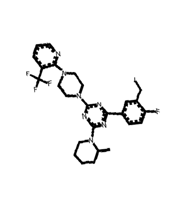 CC1CCCCN1c1nc(-c2ccc(F)c(CI)c2)nc(N2CCN(c3ncccc3C(F)(F)F)CC2)n1